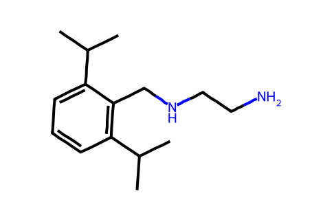 CC(C)c1cccc(C(C)C)c1CNCCN